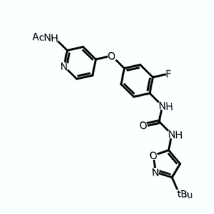 CC(=O)Nc1cc(Oc2ccc(NC(=O)Nc3cc(C(C)(C)C)no3)c(F)c2)ccn1